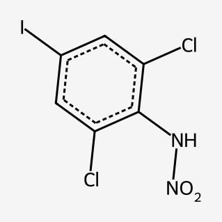 O=[N+]([O-])Nc1c(Cl)cc(I)cc1Cl